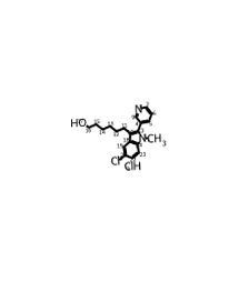 Cl.Cn1c(-c2cccnc2)c(CCCCCCO)c2cc(Cl)ccc21